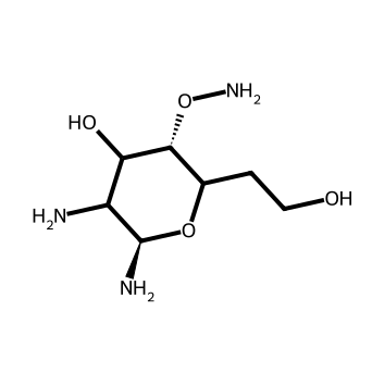 NO[C@@H]1C(CCO)O[C@@H](N)C(N)C1O